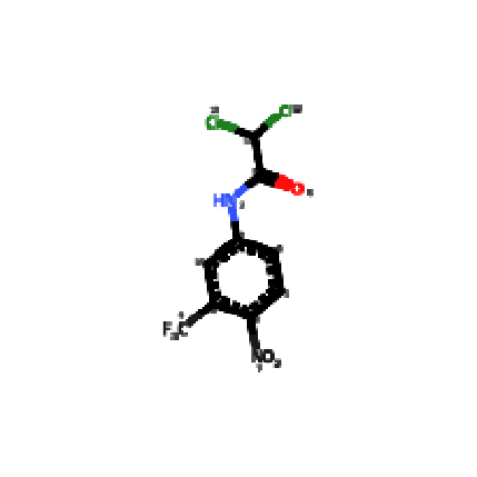 O=C(Nc1ccc([N+](=O)[O-])c(C(F)(F)F)c1)C(Cl)Cl